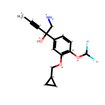 CC#CC(O)(CN)c1ccc(OC(F)F)c(OCC2CC2)c1